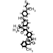 Cc1ccccc1CS(=O)(=O)Nc1ccc(-c2nc3cnc(N[C@H]4CC[C@H](N(C)CCF)CC4)nc3n(C(C)C)c2=O)cc1F